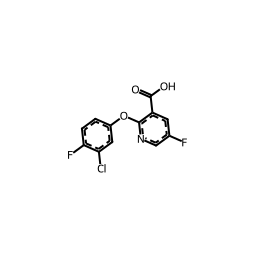 O=C(O)c1cc(F)cnc1Oc1ccc(F)c(Cl)c1